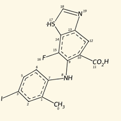 Cc1cc(I)ccc1Nc1c(C(=O)O)cc2c(c1F)[SH]C=N2